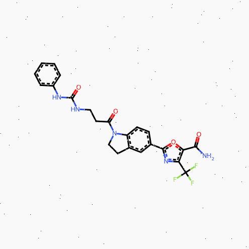 NC(=O)c1oc(-c2ccc3c(c2)CCN3C(=O)CCNC(=O)Nc2ccccc2)nc1C(F)(F)F